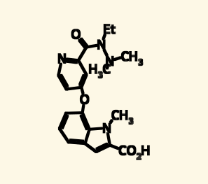 CCN(C(=O)c1cc(Oc2cccc3cc(C(=O)O)n(C)c23)ccn1)N(C)C